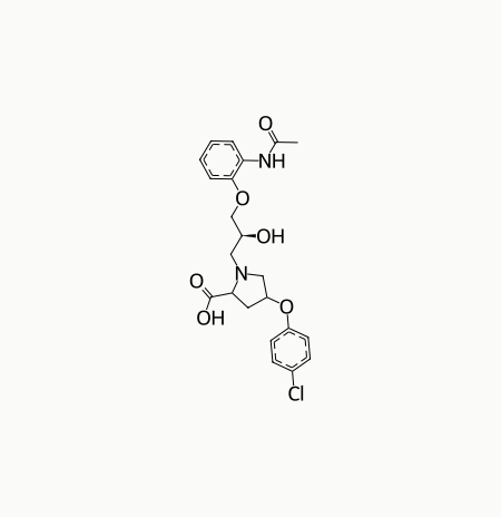 CC(=O)Nc1ccccc1OC[C@@H](O)CN1CC(Oc2ccc(Cl)cc2)CC1C(=O)O